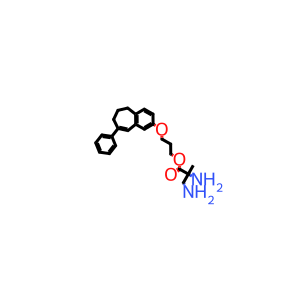 CC(N)(CN)C(=O)OCCCOc1ccc2c(c1)C=C(c1ccccc1)CCC2